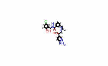 C[C@H](Cc1cccc(C(=O)NCc2cc(Cl)ccc2O)c1)NC[C@H](O)c1ccc(N)nc1